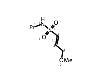 COC/C=C/S(=O)(=O)NC(C)C